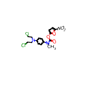 CN(C(=O)Oc1ccc([N+](=O)[O-])o1)c1ccc(N(CCCl)CCCl)cc1